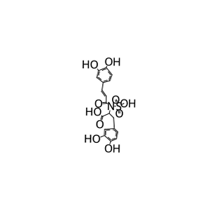 O=C(O)C(Cc1ccc(O)c(O)c1)N(C(=O)/C=C/c1ccc(O)c(O)c1)S(=O)(=O)O